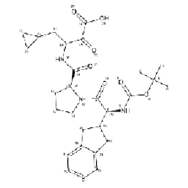 CC(C)(C)OC(=O)N[C@H](C(=O)N1CCC[C@H]1C(=O)NC(CC1CC1)C(=O)C(=O)O)C1Cc2ccccc2C1